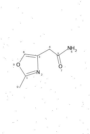 Cc1nc(CC(N)=O)co1